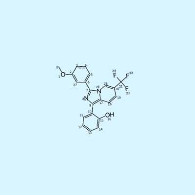 COc1cccc(-c2nc(-c3ccccc3O)c3ccc(C(F)(F)F)cn23)c1